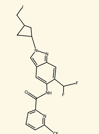 O=C(Nc1cc2cn(C3CC(CI)C3)nc2cc1C(F)F)c1cccc(C(F)(F)F)n1